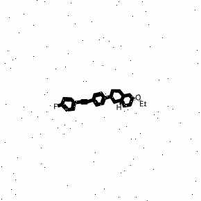 CCO[C@@H]1CC[C@@H]2CC(c3ccc(C#Cc4ccc(F)cc4)cc3)CCC2C1